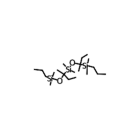 CCC[Si](C)(C)OC(C)(CC)[Si](C)(C)OC(C)(CC)[Si](C)(C)CCC